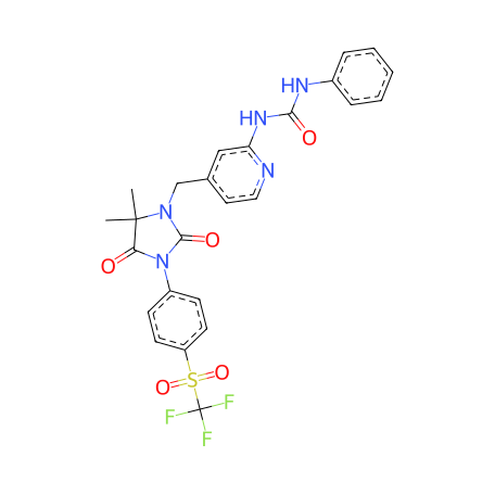 CC1(C)C(=O)N(c2ccc(S(=O)(=O)C(F)(F)F)cc2)C(=O)N1Cc1ccnc(NC(=O)Nc2ccccc2)c1